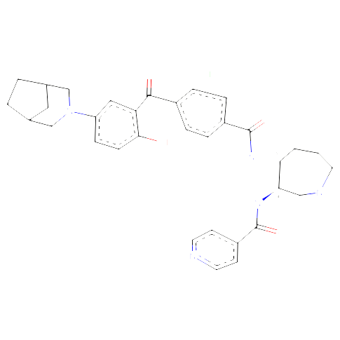 Cl.O=C(N[C@@H]1CCCNC[C@H]1NC(=O)c1ccncc1)c1ccc(C(=O)c2cc(N3CC4CCC(C4)C3)ccc2O)cc1